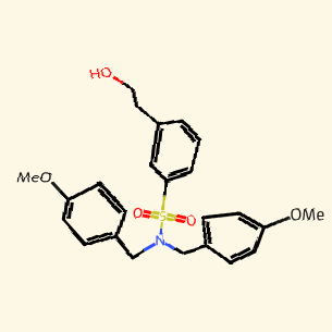 COc1ccc(CN(Cc2ccc(OC)cc2)S(=O)(=O)c2cccc(CCO)c2)cc1